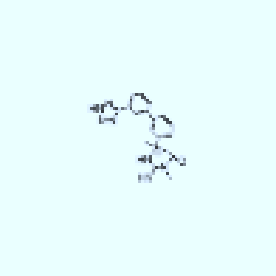 CN1C(=N)N[C@](C)(c2cccc(-c3cccc(-c4nn[nH]n4)c3)c2)CC1=O